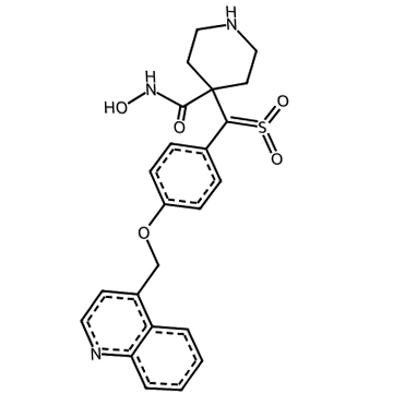 O=C(NO)C1(C(c2ccc(OCc3ccnc4ccccc34)cc2)=S(=O)=O)CCNCC1